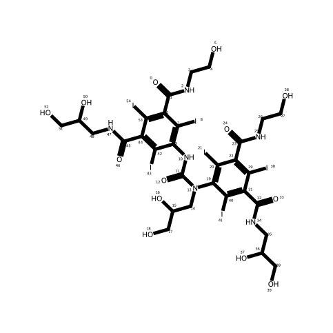 O=C(NCCO)c1c(I)c(NC(=O)N(CC(O)CO)c2c(I)c(C(=O)NCCO)c(I)c(C(=O)NCC(O)CO)c2I)c(I)c(C(=O)NCC(O)CO)c1I